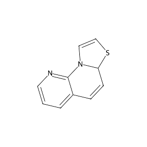 C1=CN2c3ncccc3C=CC2S1